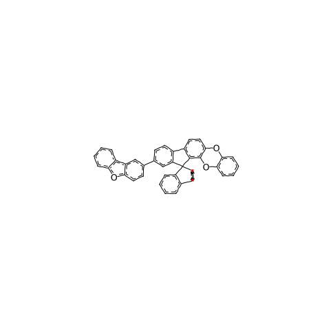 c1ccc2c(c1)Oc1ccc3c(c1O2)C1(c2ccccc2-c2ccccc21)c1cc(-c2ccc4oc5ccccc5c4c2)ccc1-3